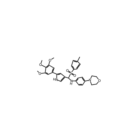 COc1cc(-c2cc(C(Nc3ccc(N4CCOCC4)cc3)S(=O)(=O)c3ccc(C)cc3)c[nH]2)cc(OC)c1OC